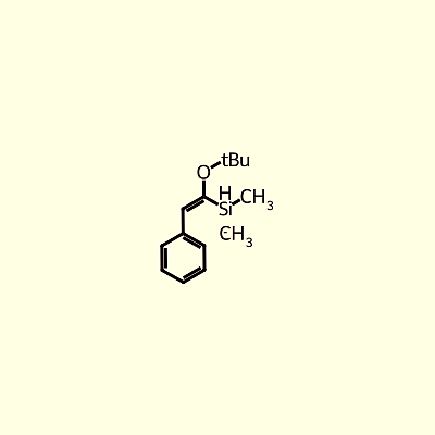 C[SiH](C)C(=Cc1ccccc1)OC(C)(C)C